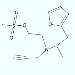 C#CCN(CCOS(C)(=O)=O)C(C)Cc1ccco1